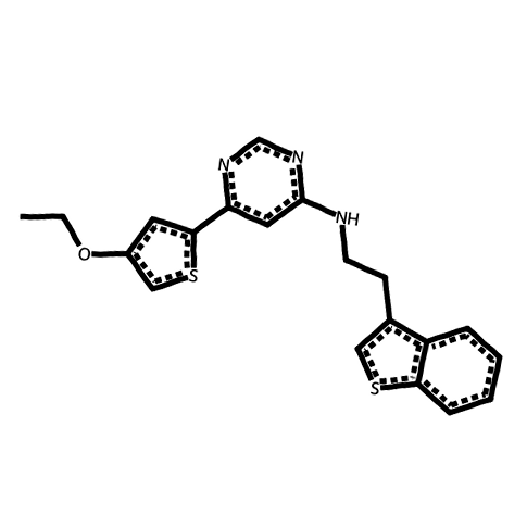 CCOc1csc(-c2cc(NCCc3csc4ccccc34)ncn2)c1